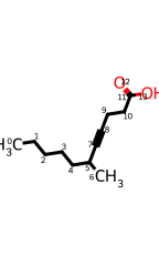 CCCCCC(C)C#CCCC(=O)O